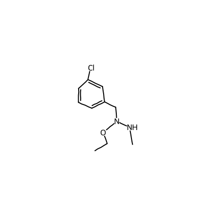 CCON(Cc1cccc(Cl)c1)NC